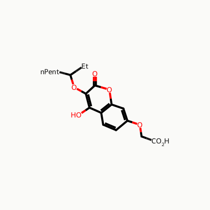 CCCCCC(CC)Oc1c(O)c2ccc(OCC(=O)O)cc2oc1=O